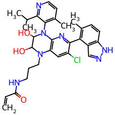 C=CC(=O)NCCCN1c2cc(Cl)c(-c3c(C)ccc4[nH]ncc34)nc2N(c2c(C)ccnc2C(C)C)C(O)C1O